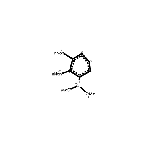 CCCCCCCCCc1cccc([SiH](OC)OC)c1CCCCCCCCC